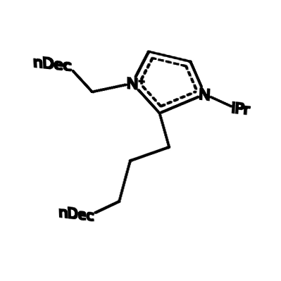 CCCCCCCCCCCCCc1n(C(C)C)cc[n+]1CCCCCCCCCCC